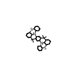 CC1(C)c2cc3c(cc2N2c4ccccc4Sc4cccc1c42)C(C)(C)c1cccc2c1N3c1ccccc1S2